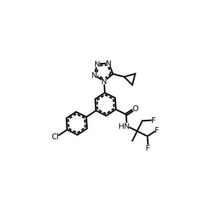 CC(CF)(NC(=O)c1cc(-c2ccc(Cl)cc2)cc(-n2nnnc2C2CC2)c1)C(F)F